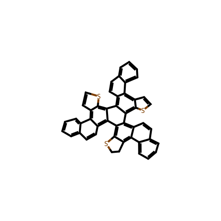 c1ccc2c(c1)ccc1c2c2c(c3c1c1c4sccc4c4c5ccccc5ccc4c1c1c4sccc4c4c5ccccc5ccc4c31)SCC2